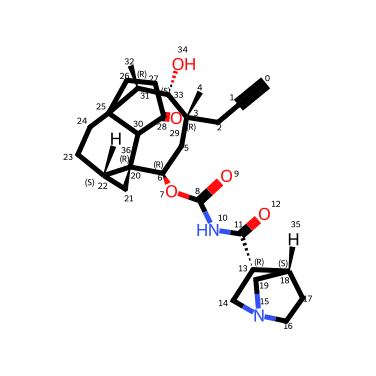 C#CC[C@]1(C)C[C@@H](OC(=O)NC(=O)[C@H]2CN3CC[C@@H]2C3)[C@]23C[C@@H]2CCC2(CCC(=O)C23)[C@@H](C)[C@@H]1O